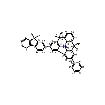 CC1(C)C2=C(CCC=C2)c2ccc(-c3cc4c5c(c3)c3cc(-c6ccccc6)cc6c3n5-c3c(cccc3C4(C)C)C6(C)C)cc21